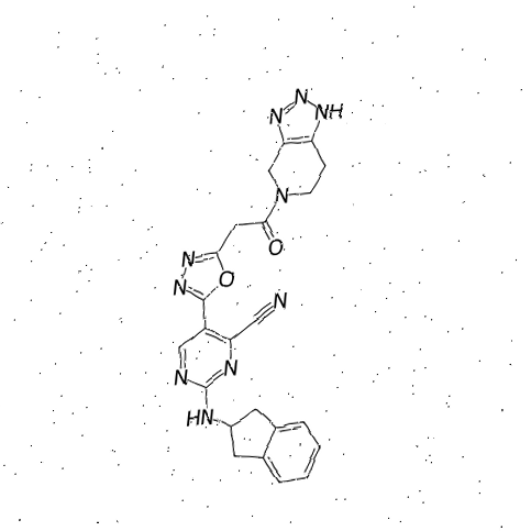 N#Cc1nc(NC2Cc3ccccc3C2)ncc1-c1nnc(CC(=O)N2CCc3[nH]nnc3C2)o1